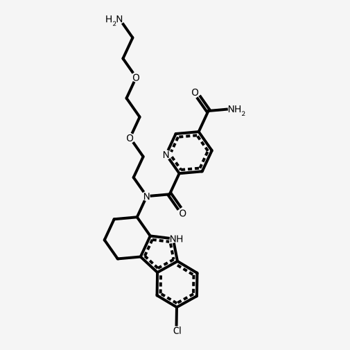 NCCOCCOCCN(C(=O)c1ccc(C(N)=O)cn1)C1CCCc2c1[nH]c1ccc(Cl)cc21